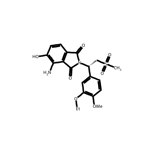 CCOc1cc([C@@H](CS(C)(=O)=O)N2C(=O)c3ccc(O)c(N)c3C2=O)ccc1OC